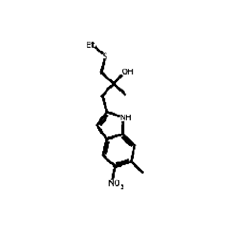 CCSCC(C)(O)Cc1cc2cc([N+](=O)[O-])c(C)cc2[nH]1